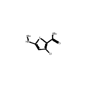 CC(C)(C)Nc1cc(Cl)c(C(=O)C(C)(C)C)s1